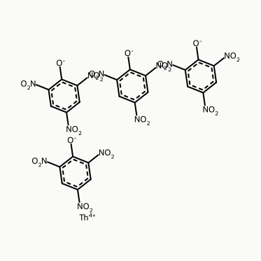 O=[N+]([O-])c1cc([N+](=O)[O-])c([O-])c([N+](=O)[O-])c1.O=[N+]([O-])c1cc([N+](=O)[O-])c([O-])c([N+](=O)[O-])c1.O=[N+]([O-])c1cc([N+](=O)[O-])c([O-])c([N+](=O)[O-])c1.O=[N+]([O-])c1cc([N+](=O)[O-])c([O-])c([N+](=O)[O-])c1.[Th+4]